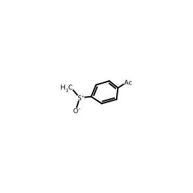 CC(=O)c1ccc([S+](C)[O-])cc1